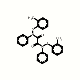 Cc1ccccc1SN(C(=O)C(=O)N(Sc1ccccc1C)c1ccccc1)c1ccccc1